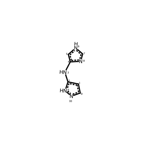 c1cc(Nc2c[nH]cn2)[nH]n1